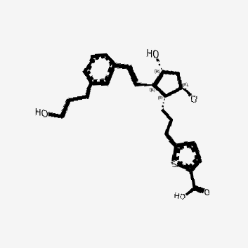 O=C(O)c1ccc(CCC[C@@H]2[C@@H](C=Cc3cccc(CCCO)c3)[C@H](O)C[C@H]2Cl)s1